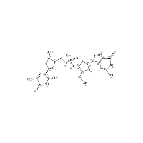 Cc1cn([C@H]2C[C@@H](O)C(CO[P@](=O)(S)O[C@@H]3C[C@H](n4cnc5c(=O)[nH]c(N)nc54)OC3CO)O2)c(=O)[nH]c1=O